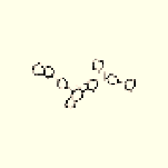 c1ccc(-c2ccc(N(c3ccccc3)c3ccc4c(c3)oc3c(-c5ccc(-c6ccc7ccccc7c6)cc5)c5ccccc5cc34)cc2)cc1